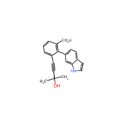 CC(C)(O)C#Cc1cccc(C(=O)O)c1-c1ccc2cc[nH]c2c1